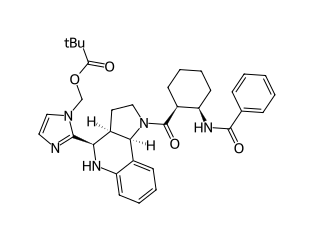 CC(C)(C)C(=O)OCn1ccnc1[C@@H]1Nc2ccccc2[C@H]2[C@@H]1CCN2C(=O)[C@H]1CCCC[C@H]1NC(=O)c1ccccc1